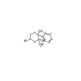 CC(C)C1CCC(C)(c2ccccc2)C(O)(O)C1